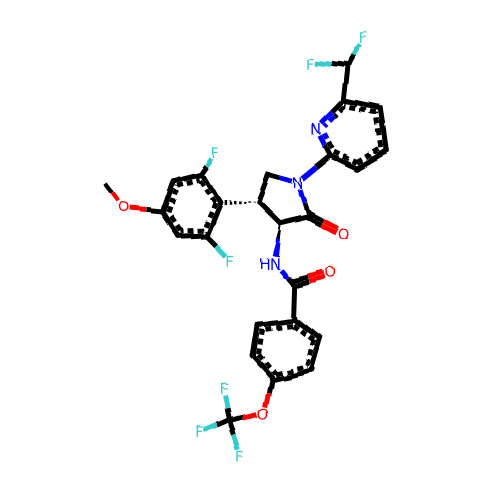 COc1cc(F)c([C@@H]2CN(c3cccc(C(F)F)n3)C(=O)[C@H]2NC(=O)c2ccc(OC(F)(F)F)cc2)c(F)c1